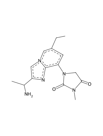 CCc1cc(N2CC(=O)N(C)C2=O)c2nc(C(C)N)cn2c1